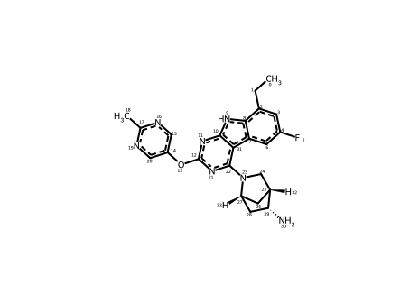 CCc1cc(F)cc2c1[nH]c1nc(Oc3cnc(C)nc3)nc(N3C[C@H]4C[C@@H]3C[C@H]4N)c12